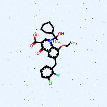 CCOc1cc(Cc2cccc(Cl)c2F)cc2c(=O)c(C(=O)O)cn(C(C)(O)C3CCCCC3)c12